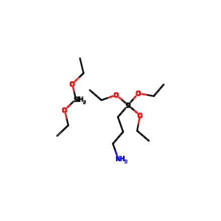 CCO[SiH2]OCC.CCO[Si](CCCN)(OCC)OCC